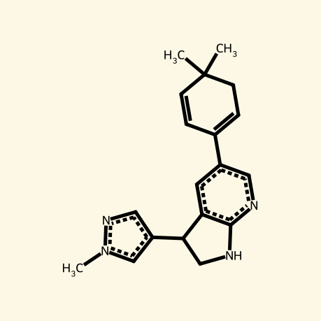 Cn1cc(C2CNc3ncc(C4=CCC(C)(C)C=C4)cc32)cn1